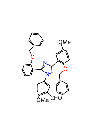 COc1ccc(OCc2ccccc2)c(-c2cn(-c3ccc(OC)c(C=O)c3)c(-c3ccccc3OCc3ccccc3)n2)c1